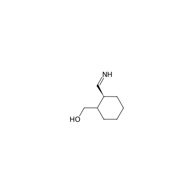 N=C[C@H]1CCCCC1CO